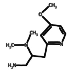 COc1ccnc(CC(CN)N(C)C)c1